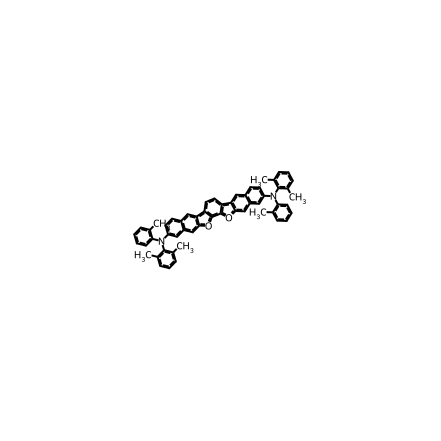 Cc1ccccc1N(c1ccc2cc3c(cc2c1)oc1c3ccc2c3cc4ccc(N(c5ccccc5C)c5c(C)cccc5C)cc4cc3oc21)c1c(C)cccc1C